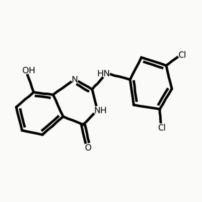 O=c1[nH]c(Nc2cc(Cl)cc(Cl)c2)nc2c(O)cccc12